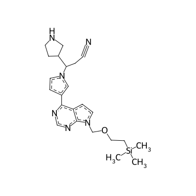 C[Si](C)(C)CCOCn1ccc2c(-c3ccn(C(CC#N)C4CCNC4)c3)ncnc21